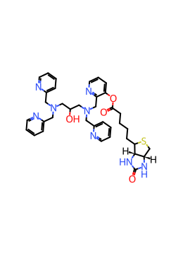 O=C1N[C@H]2CSC(CCCCC(=O)Oc3cccnc3CN(Cc3ccccn3)CC(O)CN(Cc3ccccn3)Cc3ccccn3)[C@H]2N1